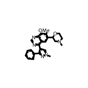 COc1cc2ncnc(-c3cn(C)nc3-c3ccccc3)c2cc1C1CN(C)CCO1